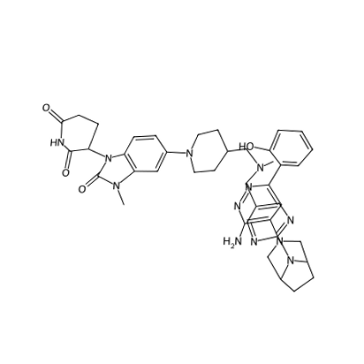 CN(Cc1cnc(N2C3CCC2CN(c2cc(-c4ccccc4O)nnc2N)C3)nc1)CC1CCN(c2ccc3c(c2)n(C)c(=O)n3C2CCC(=O)NC2=O)CC1